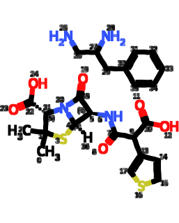 CC1(C)S[C@@H]2[C@H](NC(=O)C(C(=O)O)c3ccsc3)C(=O)N2[C@H]1C(=O)O.NCC(N)Cc1ccccc1